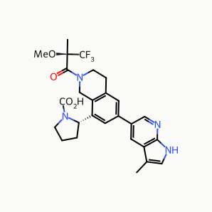 CO[C@](C)(C(=O)N1CCc2cc(-c3cnc4[nH]cc(C)c4c3)cc([C@@H]3CCCN3C(=O)O)c2C1)C(F)(F)F